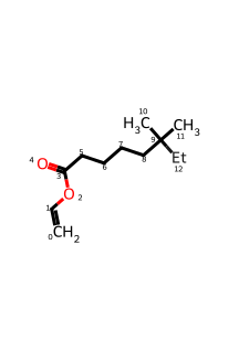 C=COC(=O)CCCCC(C)(C)CC